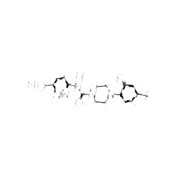 O=C(Nc1ccc(O)nn1)N1CCN(c2ccc(F)cc2F)CC1